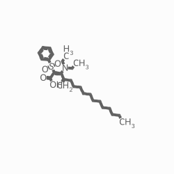 C=C(CCCCCCCCCCCC)C(=C(C(=O)O)S(=O)(=O)c1ccccc1)N(CC)CC